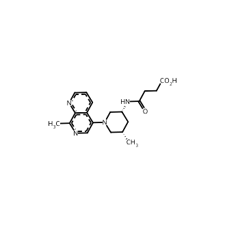 Cc1ncc(N2C[C@@H](C)C[C@@H](NC(=O)CCC(=O)O)C2)c2cccnc12